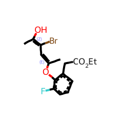 CCOC(=O)Cc1cccc(F)c1O/C(C)=C/C(Br)=C(\C)O